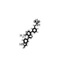 Cc1cc2cc(-c3csc4c(-c5cccc(CN[SH](=O)=O)c5)cnc(N)c34)ccc2[nH]1